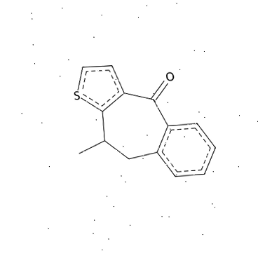 CC1Cc2ccccc2C(=O)c2ccsc21